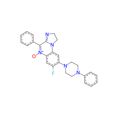 [O-][N+]1=C(c2ccccc2)C2=NCCN2c2cc(N3CCN(c4ccccc4)CC3)c(F)cc21